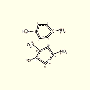 Nc1cc[n+](N)cc1.O=[N+]([O-])c1ccc([O-])c([N+](=O)[O-])c1